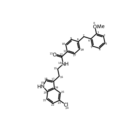 COc1ccccc1Cc1ccc(C(=O)NCCc2c[nH]c3ccc(Cl)cc23)cc1